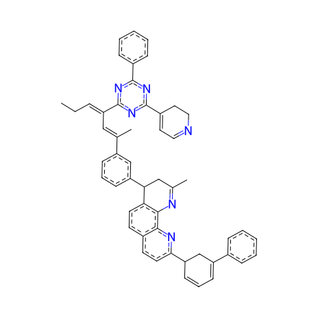 CC/C=C(\C=C(/C)c1cccc(C2CC(C)=Nc3c2ccc2ccc(C4C=CC=C(c5ccccc5)C4)nc32)c1)c1nc(C2=CC=NCC2)nc(-c2ccccc2)n1